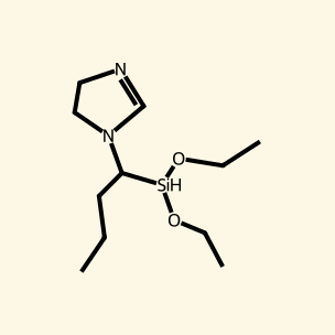 CCCC(N1C=NCC1)[SiH](OCC)OCC